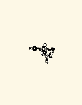 CCC(C=O)N(CCOC)C(=O)CC1C(=O)N(CCc2ccc(OC)cc2)CC(=O)N1CCc1cccs1